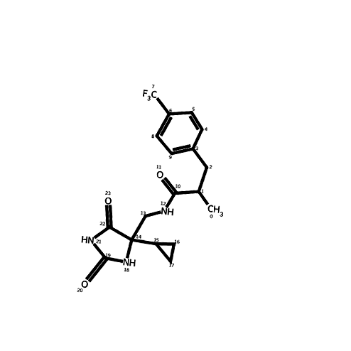 CC(Cc1ccc(C(F)(F)F)cc1)C(=O)NCC1(C2CC2)NC(=O)NC1=O